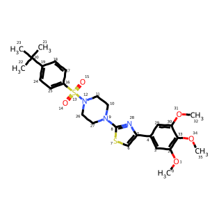 COc1cc(-c2csc(N3CCN(S(=O)(=O)c4ccc(C(C)(C)C)cc4)CC3)n2)cc(OC)c1OC